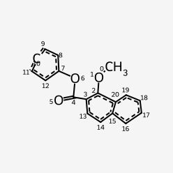 COc1c(C(=O)Oc2ccccc2)ccc2ccccc12